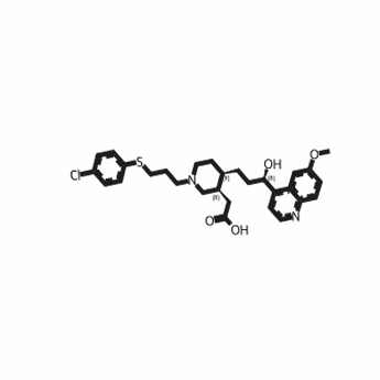 COc1ccc2nccc([C@H](O)CC[C@@H]3CCN(CCCSc4ccc(Cl)cc4)C[C@@H]3CC(=O)O)c2c1